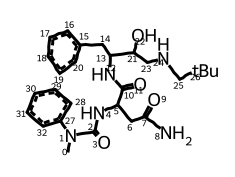 CN(C(=O)NC(CC(N)=O)C(=O)NC(Cc1ccccc1)C(O)CNCC(C)(C)C)c1ccccc1